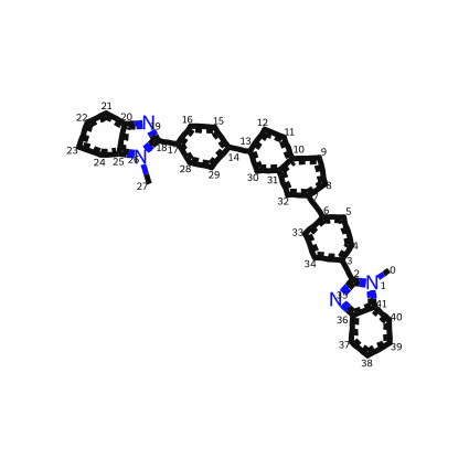 Cn1c(-c2ccc(-c3ccc4ccc(-c5ccc(-c6nc7ccccc7n6C)cc5)cc4c3)cc2)nc2ccccc21